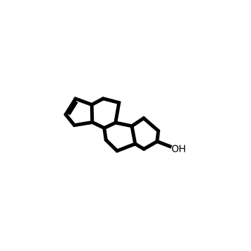 OC1CCC2C(CCC3C4CC=CC4CCC23)C1